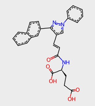 O=C(O)CC[C@H](NC(=O)C=Cc1cn(-c2ccccc2)nc1-c1ccc2ccccc2c1)C(=O)O